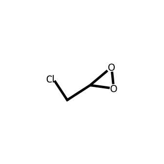 ClCC1OO1